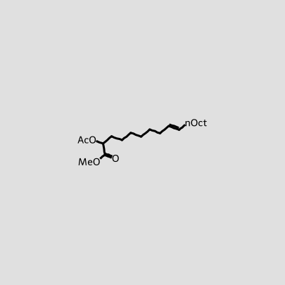 CCCCCCCCC=CCCCCCCC(OC(C)=O)C(=O)OC